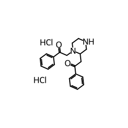 Cl.Cl.O=C(CC1CNCCN1CC(=O)c1ccccc1)c1ccccc1